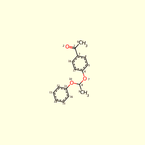 CC(=O)c1ccc(OC(C)Oc2ccccc2)cc1